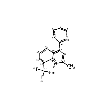 Cc1[c]c(-c2ccccc2)c2cccc(C(F)(F)F)c2n1